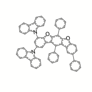 c1ccc(-c2ccc3oc4c(-c5ccccc5)c5oc6c(-n7c8ccccc8c8ccccc87)cc(-n7c8ccccc8c8ccccc87)cc6c5c(-c5ccccc5)c4c3c2)cc1